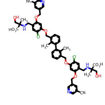 Cc1c(COc2cc(OCc3cncc(C#N)c3)c(CNC(C)(CO)C(=O)O)cc2Cl)cccc1-c1cccc(COc2cc(OCc3cncc(C#N)c3)c(CNC(C)(CO)C(=O)O)cc2Cl)c1C